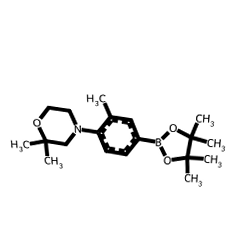 Cc1cc(B2OC(C)(C)C(C)(C)O2)ccc1N1CCOC(C)(C)C1